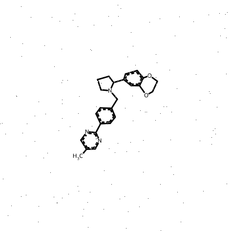 Cc1cnc(-c2ccc(CN3CCCC3c3ccc4c(c3)OCCO4)cc2)nc1